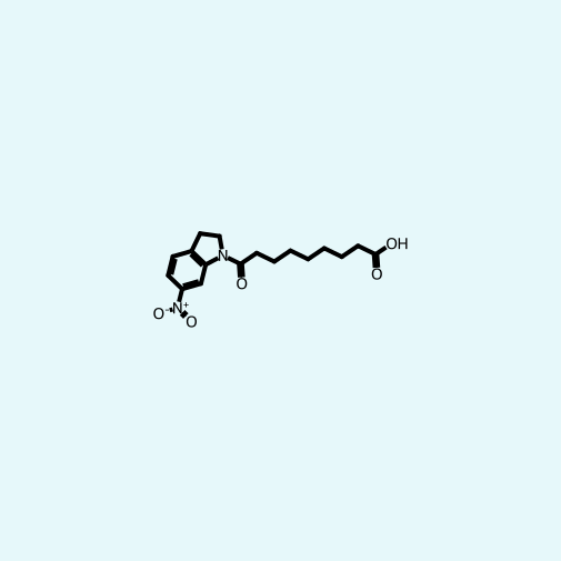 O=C(O)CCCCCCCC(=O)N1CCc2ccc([N+](=O)[O-])cc21